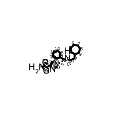 C[C@@H](CC1CCCCCC1)NCc1ccccc1[N+]1(C)C=NC(S(N)(=O)=O)=C1